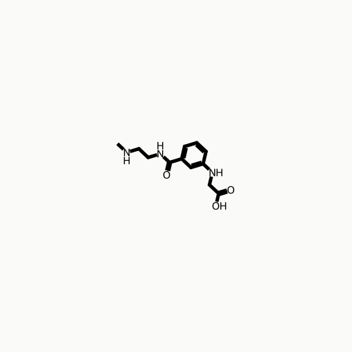 CNCCNC(=O)c1cccc(NCC(=O)O)c1